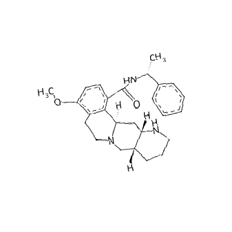 COc1ccc(C(=O)N[C@H](C)c2ccccc2)c2c1CCN1C[C@H]3CCCN[C@H]3C[C@H]21